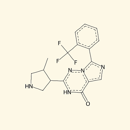 CC1CNCC1c1nn2c(-c3ccccc3C(F)(F)F)ncc2c(=O)[nH]1